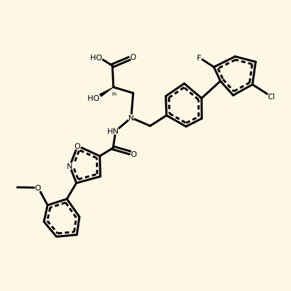 COc1ccccc1-c1cc(C(=O)NN(Cc2ccc(-c3cc(Cl)ccc3F)cc2)C[C@@H](O)C(=O)O)on1